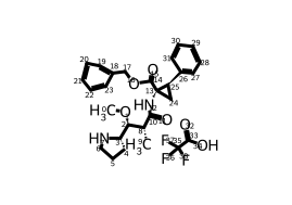 CO[C@@H]([C@@H]1CCCN1)[C@@H](C)C(=O)N[C@@]1(C(=O)OCc2ccccc2)C[C@@H]1c1ccccc1.O=C(O)C(F)(F)F